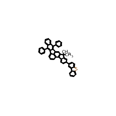 CC1(C)c2cc(-c3ccc4sc5ccccc5c4c3)ccc2-c2c1cc1c3c(cccc23)-c2c-1c(-c1ccccc1)c1ccccc1c2-c1ccccc1